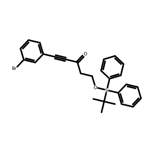 CC(C)(C)[Si](OCCC(=O)C#Cc1cccc(Br)c1)(c1ccccc1)c1ccccc1